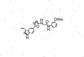 C=Cc1n[nH]c2ccc(-c3nnc(NCC(=O)Nc4cccc(OC)c4)o3)cc12